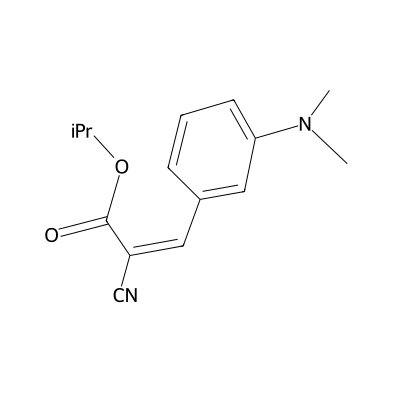 CC(C)OC(=O)C(C#N)=Cc1cccc(N(C)C)c1